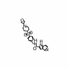 O=C(NCc1ccc(S(=O)(=O)C2CCN(C3COC3)CC2)cc1)c1cc2cnccc2[nH]1